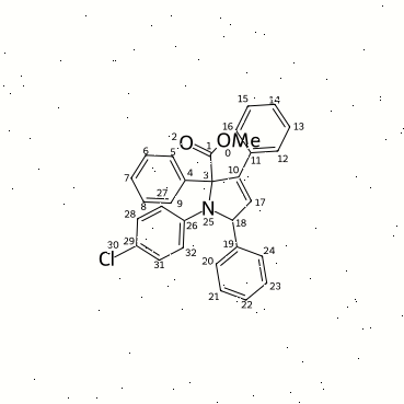 COC(=O)C1(c2ccccc2)C(c2ccccc2)=CC(c2ccccc2)N1c1ccc(Cl)cc1